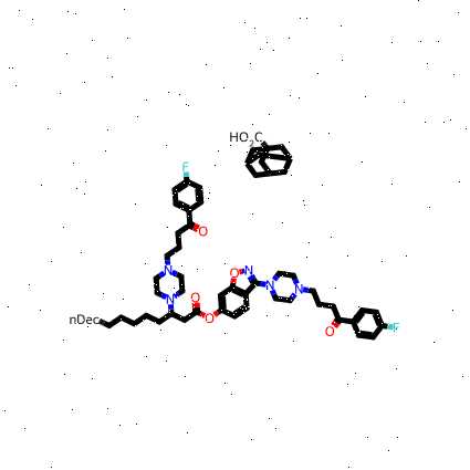 CCCCCCCCCCCCCCCC(CC(=O)Oc1ccc2c(N3CCN(CCCC(=O)c4ccc(F)cc4)CC3)noc2c1)N1CCN(CCCC(=O)c2ccc(F)cc2)CC1.O=C(O)C12CC3CC(CC(C3)C1)C2